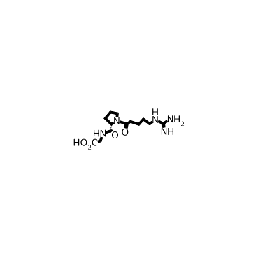 N=C(N)NCCCCC(=O)N1CCC[C@H]1C(=O)NCC(=O)O